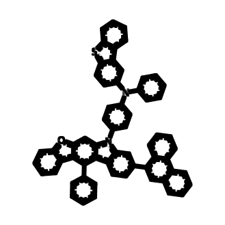 c1ccc(-c2c3c(cc4c2c2ccc(-c5cc6ccccc6c6ccccc56)cc2n4-c2ccc(N(c4ccccc4)c4ccc5sc6ccccc6c5c4)cc2)oc2ccccc23)cc1